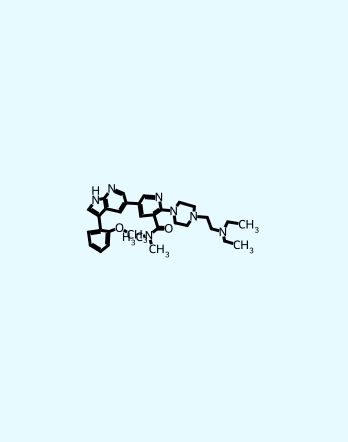 CCN(CC)CCN1CCN(c2ncc(-c3cnc4[nH]cc(-c5ccccc5OC)c4c3)cc2C(=O)N(C)C)CC1